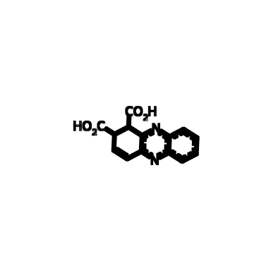 O=C(O)C1C=Cc2nc3ccccc3nc2C1C(=O)O